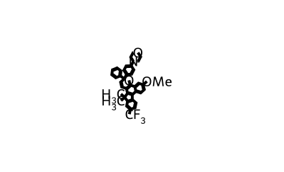 COc1ccc2c3c(c4c(c2c1)OC(c1ccccc1)(c1ccc(N2CCOCC2)cc1)C=C4)C(C)(C)c1cc(C(F)(F)F)ccc1-3